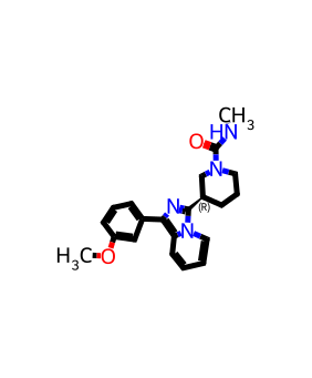 CNC(=O)N1CCC[C@@H](c2nc(-c3cccc(OC)c3)c3ccccn23)C1